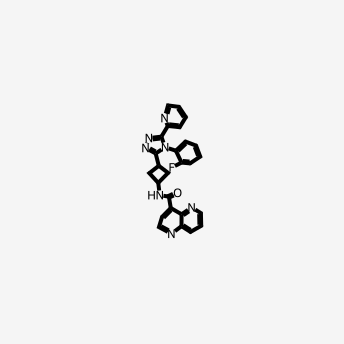 O=C(NC1CC(c2nnc(-c3ccccn3)n2-c2ccccc2F)C1)c1ccnc2cccnc12